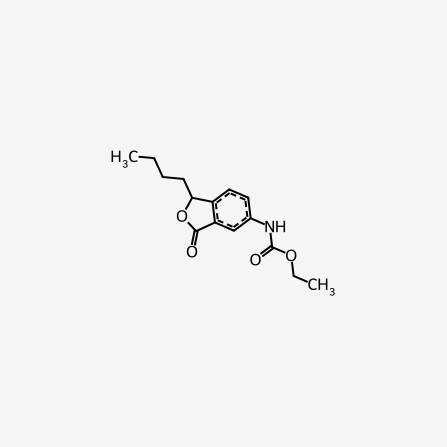 CCCCC1OC(=O)c2cc(NC(=O)OCC)ccc21